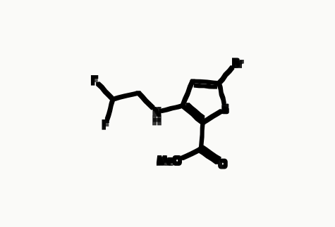 COC(=O)c1sc(Br)cc1NCC(F)F